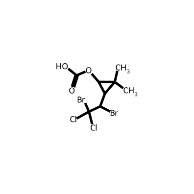 CC1(C)C(OC(=O)O)C1C(Br)C(Cl)(Cl)Br